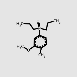 CCCP(=O)(CCC)c1ccc(C)c(OC)c1